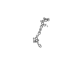 O=C1CCC(Nc2ccc(N3CCC(N4CC(N5CCC(COc6cc(F)c7c(=O)[nH]c(CSC8CCOCC8)nc7c6)CC5)C4)CC3)c(C(F)(F)F)c2)C(=O)N1